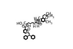 Cc1cc(S(=O)(=O)NC(=N)NCCC[C@H](NC(=O)c2cccn(CC(c3ccccc3)c3ccccc3)c2=O)C(=O)O)c(C)c2c1OC(C)(C)CC2